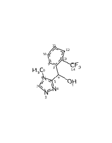 Cn1cnnc1C(O)c1ccccc1C(F)(F)F